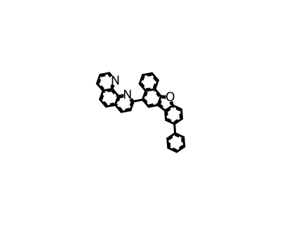 c1ccc(-c2ccc3oc4c5ccccc5c(-c5ccc6ccc7cccnc7c6n5)cc4c3c2)cc1